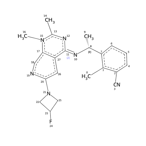 Cc1c(C#N)cccc1[C@@H](C)/N=c1\nc(C)n(C)c2cnc(N3CC(F)C3)cc12